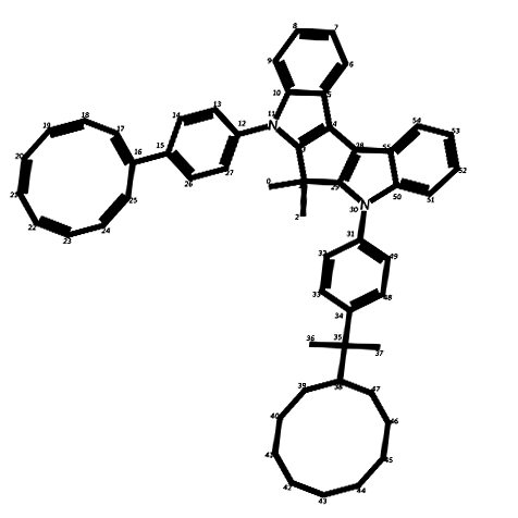 CC1(C)c2c(c3ccccc3n2-c2ccc(-c3ccccccccc3)cc2)-c2c1n(-c1ccc(C(C)(C)C3CCCCCCCCC3)cc1)c1ccccc21